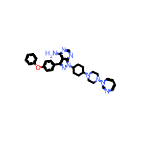 Nc1ncnc2c1c(-c1ccc(Oc3ccccc3)cc1)nn2C1CCC(N2CCN(N3C=CC=CN=C3)CC2)CC1